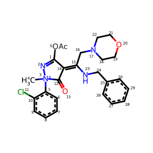 CC(=O)OC1=N[N+](C)(c2ccccc2Cl)C(=O)/C1=C(/CN1CCOCC1)NCc1ccccc1